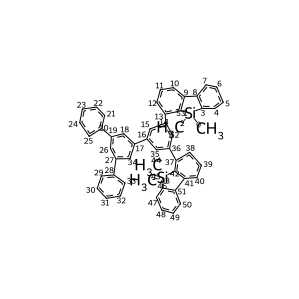 C[Si]1(C)c2ccccc2-c2cccc(-c3cc(-c4cc(-c5ccccc5)cc(-c5ccccc5)c4)cc(-c4cccc5c4[Si](C)(C)c4ccccc4-5)c3)c21